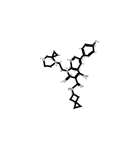 O=C(NC1CC2(CC2)C1)c1c(O)c2cc(-c3ccc(F)cc3)cnc2n(CCN2CCOCC23CC3)c1=O